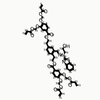 C=CC(=O)OCOc1ccc(C(=O)OCCc2ccc(CCOC(=O)c3ccc(OCOC(=O)C=C)c(OCOC(=O)C=C)c3)c(/C=N/N(CCO)c3nc4ccccc4s3)c2)cc1OCOC(=O)C=C